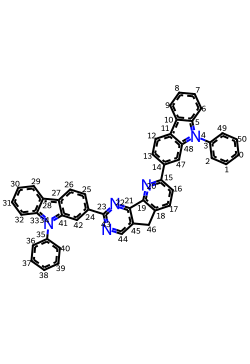 c1ccc(-n2c3ccccc3c3ccc(-c4ccc5c(n4)-c4nc(-c6ccc7c8ccccc8n(-c8ccccc8)c7c6)ncc4C5)cc32)cc1